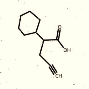 C#CCC(C(=O)O)C1CCCCC1